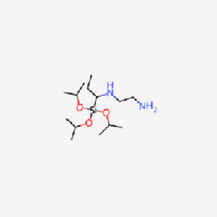 CCC(NCCN)[Si](OC(C)C)(OC(C)C)OC(C)C